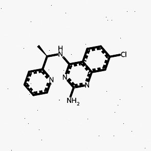 C[C@@H](Nc1nc(N)nc2cc(Cl)ccc12)c1ccccn1